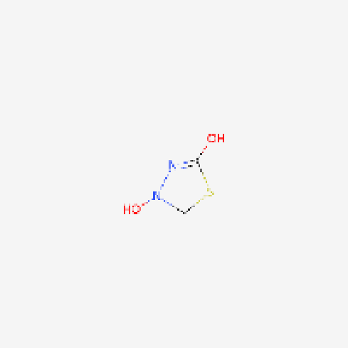 OC1=NN(O)CS1